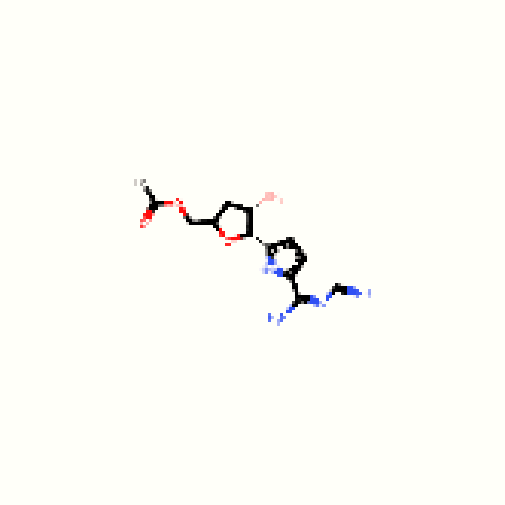 B[C@H]1CC(COC(=O)C(C)C)O[C@H]1c1ccc(/C(N)=N\C=N)[nH]1